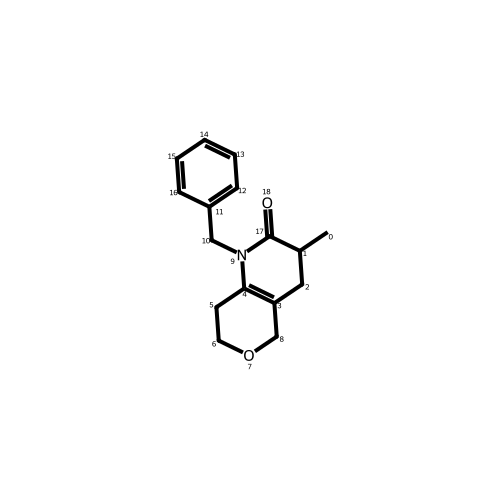 CC1CC2=C(CCOC2)N(Cc2ccccc2)C1=O